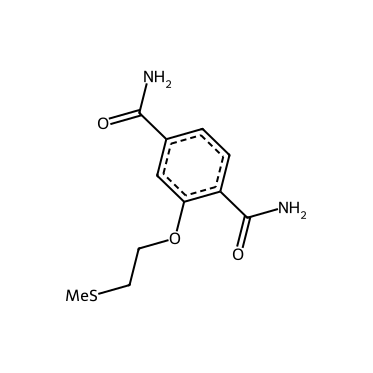 CSCCOc1cc(C(N)=O)ccc1C(N)=O